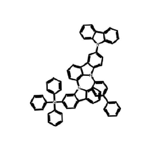 c1ccc(-c2ccc(-n3c4ccc(-n5c6ccccc6c6ccccc65)cc4c4cccc(-n5c6ccccc6c6ccc([Si](c7ccccc7)(c7ccccc7)c7ccccc7)cc65)c43)cc2)cc1